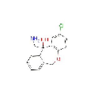 NCC1(O)c2ccccc2COc2ccc(Cl)cc21